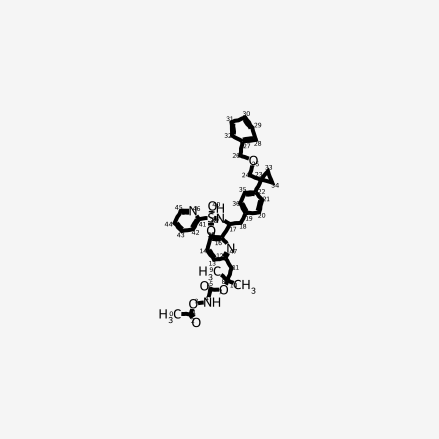 CC(=O)ONC(=O)OC(C)(C)Cc1cccc(C(Cc2ccc(C3(COCc4ccccc4)CC3)cc2)NS(=O)(=O)c2ccccn2)n1